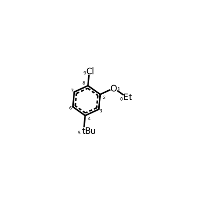 CCOc1cc(C(C)(C)C)ccc1Cl